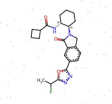 CC(F)c1nnc(-c2ccc3c(c2)C(=O)N([C@@H]2CCCC[C@H]2NC(=O)C2CCC2)C3)o1